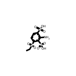 CCS(=O)(=O)c1ccc(S(=O)(=O)O)c(N)c1S(=O)(=O)O